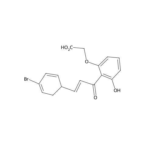 O=C(O)COc1cccc(O)c1C(=O)C=CC1C=CC(Br)=CC1